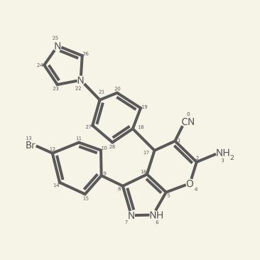 N#CC1=C(N)Oc2[nH]nc(-c3ccc(Br)cc3)c2C1c1ccc(-n2ccnc2)cc1